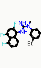 CCc1cccc(N(C)C(=N)Nc2c(F)cc(F)c3c(F)cccc23)c1